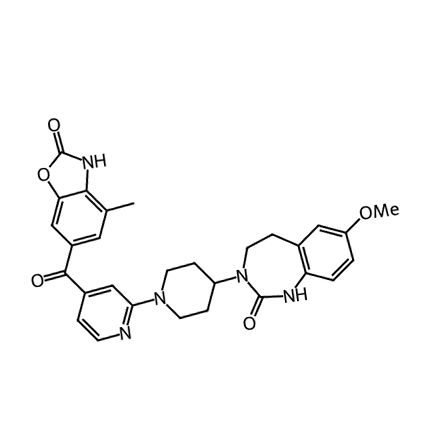 COc1ccc2c(c1)CCN(C1CCN(c3cc(C(=O)c4cc(C)c5[nH]c(=O)oc5c4)ccn3)CC1)C(=O)N2